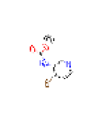 CC(C)(C)OC(=O)Nc1cnccc1Br